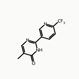 Cc1cnc(-c2ccc(C(F)(F)F)nc2)[nH]c1=O